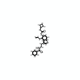 C=CCc1c(SC(=O)CC2CCC2)ccc2scc(CCNC(=O)c3ccccc3)c12